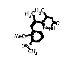 COc1c(C=C(C)C2=NNC(=O)CC2C)cccc1[S+](C)[O-]